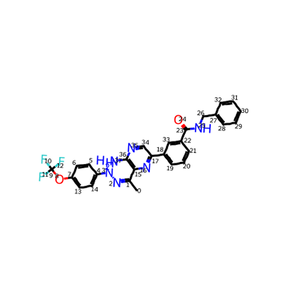 CC(=NNc1ccc(OC(F)(F)F)cc1)c1nc(-c2cccc(C(=O)NCc3ccccc3)c2)cnc1N